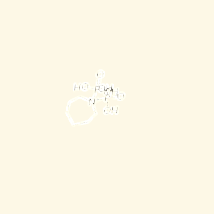 O=P(O)(O)[N+]1(P(=O)(O)O)CCCCCC1